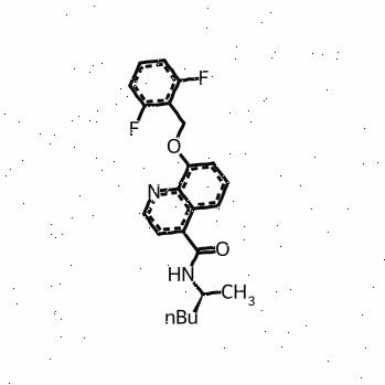 CCCC[C@H](C)NC(=O)c1ccnc2c(OCc3c(F)cccc3F)cccc12